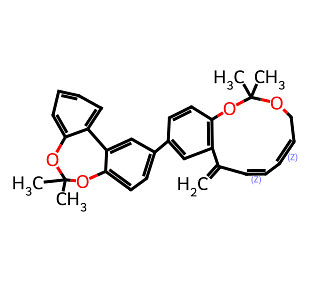 C=C1/C=C\C=C/COC(C)(C)Oc2ccc(-c3ccc4c(c3)-c3ccccc3OC(C)(C)O4)cc21